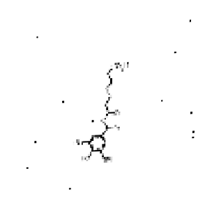 CCC(OC(=O)CCSCCC(=O)O)c1cc(C(C)(C)C)c(O)c(C(C)(C)C)c1